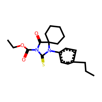 CCCc1ccc(N2C(=S)N(C(=O)OCC)C(=O)C23CCCCC3)cc1